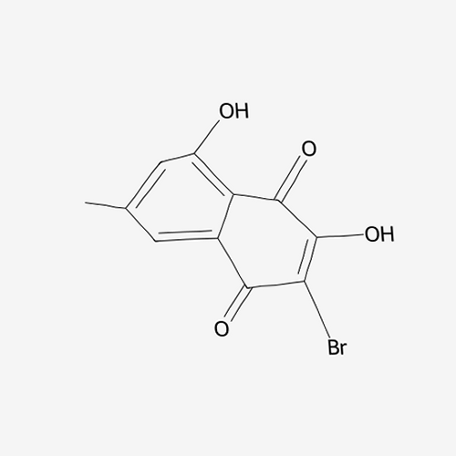 Cc1cc(O)c2c(c1)C(=O)C(Br)=C(O)C2=O